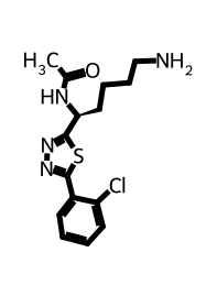 CC(=O)N[C@@H](CCCCN)c1nnc(-c2ccccc2Cl)s1